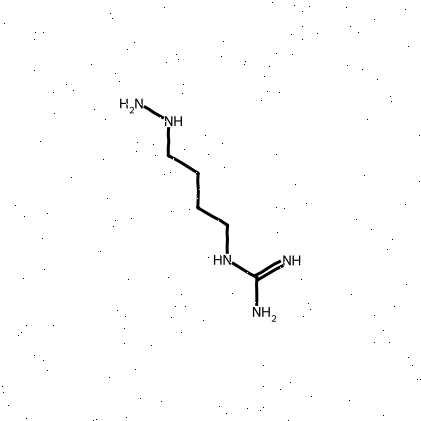 N=C(N)NCCCCNN